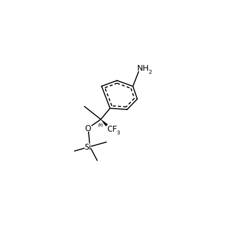 C[C@@](O[Si](C)(C)C)(c1ccc(N)cc1)C(F)(F)F